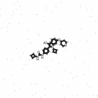 CC(=O)c1c(-c2ccc(NC(=O)NC3CCC3)cc2)n(C2CCC2)c2cc(OC3CCOCC3)ccc12